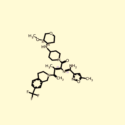 C=C(/C(C)=C(\N=C(/N)c1cc(C)on1)C(=O)N1CCC(N[C@@H]2CCOC[C@@H]2OC)CC1)N1CCc2ccc(C(F)(F)F)cc2C1